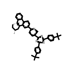 C[C@@H]1CC[C@]23CCC[C@@]2(C1)c1cc(-c2ccc(-c4nc(-c5ccc(C(C)(C)C)cc5)nc(-c5ccc(C(C)(C)C)cc5)n4)cn2)ccc1-c1ccccc13